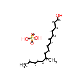 CCCCCC(C)CCCCCCCCCCO.O=S(=O)(O)O